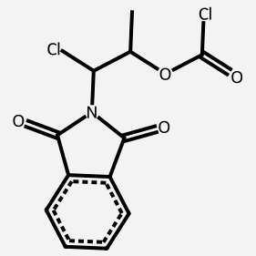 CC(OC(=O)Cl)C(Cl)N1C(=O)c2ccccc2C1=O